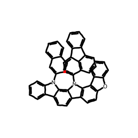 c1ccc2c(c1)-c1cccc3c(-n4c5c(ccc6oc7ccccc7c65)c5ccc6c7ccccc7n(-c7ccc8ccccc8c7)c6c54)ccc-2c13